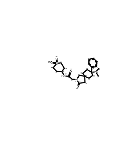 CN(C)C1(c2ccccc2)CCC2(CC1)CC(=O)N(CC(=O)NC1CCS(=O)(=O)CC1)C2